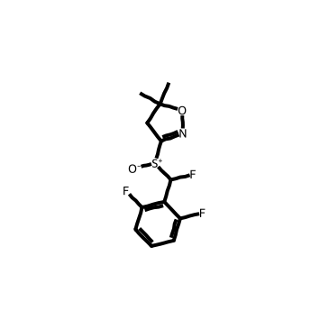 CC1(C)CC([S+]([O-])C(F)c2c(F)cccc2F)=NO1